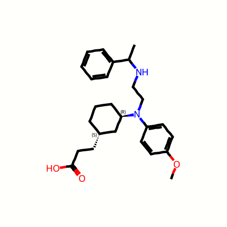 COc1ccc(N(CCNC(C)c2ccccc2)[C@@H]2CCC[C@@H](CCC(=O)O)C2)cc1